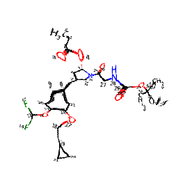 CCC(=O)O[C@H]1CC(c2ccc(OC(F)F)c(OCC3CC3)c2)CN1C(=O)CNC(=O)OC(C)(C)C